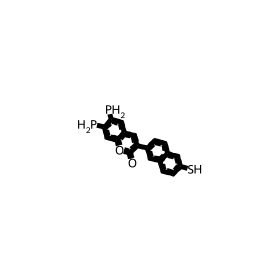 O=c1oc2cc(P)c(P)cc2cc1-c1ccc2cc(S)ccc2c1